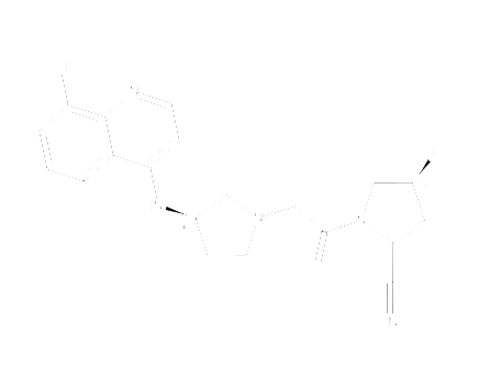 N#CC1C[C@H](F)CN1C(=O)CN1CC[C@@H](Nc2ccnc3c(Cl)cccc23)C1